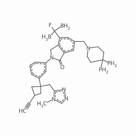 BC(B)(F)c1cc(CN2CCC(P)(P)CC2)cc2c1CN(c1cccc(C3(Cc4nncn4C)CC(C#C)C3)c1)C2=O